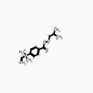 C=C[Si](C)(C)c1ccc(C(=O)OO[CH]C(C)C)cc1